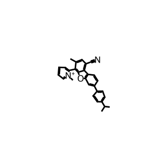 Cc1cc(C#N)c2c(oc3cc(-c4ccc(C(C)C)cc4)ccc32)c1-c1cccc[n+]1C